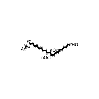 CCCCCCCCC(CCCCCCCCC=O)C(CCCCCCCC)CCCCCCCCC(=O)OCC(C)=O